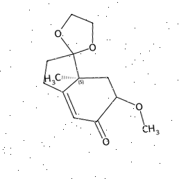 COC1C[C@@]2(C)C(=CC1=O)CCC21OCCO1